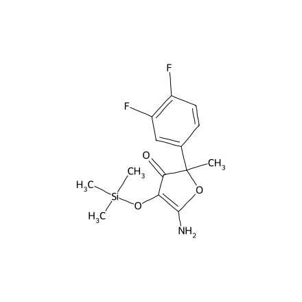 CC1(c2ccc(F)c(F)c2)OC(N)=C(O[Si](C)(C)C)C1=O